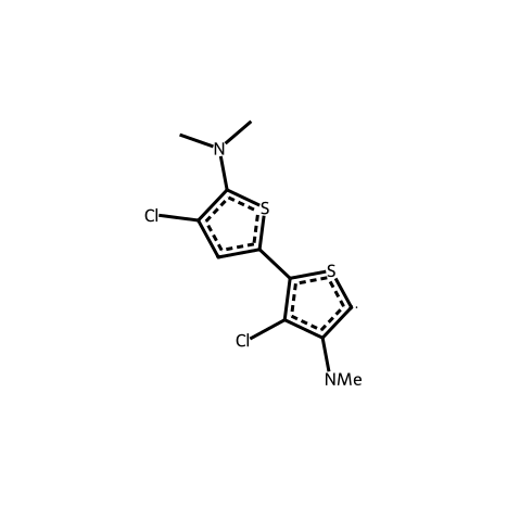 CNc1[c]sc(-c2cc(Cl)c(N(C)C)s2)c1Cl